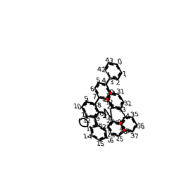 c1ccc(-c2ccc(-c3ccc4oc5ccccc5c4c3N(c3ccccc3)c3ccccc3-c3ccccc3)cc2)cc1